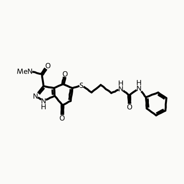 CNC(=O)c1n[nH]c2c1C(=O)C(SCCCNC(=O)Nc1ccccc1)=CC2=O